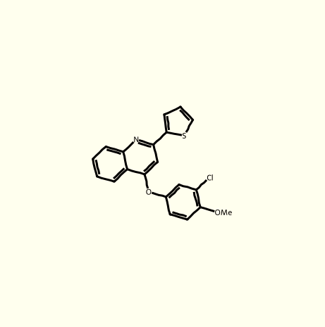 COc1ccc(Oc2cc(-c3cccs3)nc3ccccc23)cc1Cl